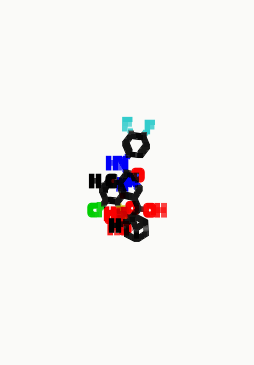 Cn1cc(C(O)C(O)[C@]2(O)C3CC2C[C@@H](S(=O)(=O)c2cc(C(=O)Nc4ccc(F)c(F)c4)ccc2Cl)C3)cn1